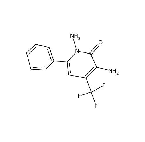 Nc1c(C(F)(F)F)cc(-c2ccccc2)n(N)c1=O